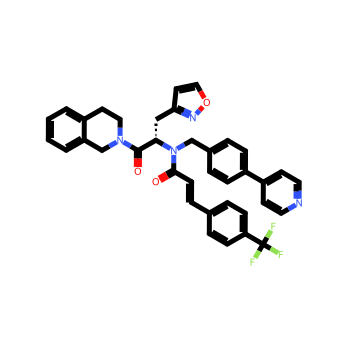 O=C([C@H](Cc1ccon1)N(Cc1ccc(-c2ccncc2)cc1)C(=O)/C=C/c1ccc(C(F)(F)F)cc1)N1CCc2ccccc2C1